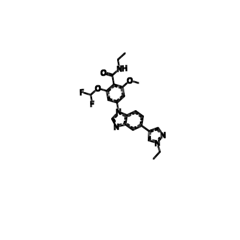 CCNC(=O)c1c(OC)cc(-n2cnc3cc(-c4cnn(CC)c4)ccc32)cc1OC(F)F